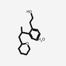 CC(CC1CCCCO1)c1ccccc1CCO.O